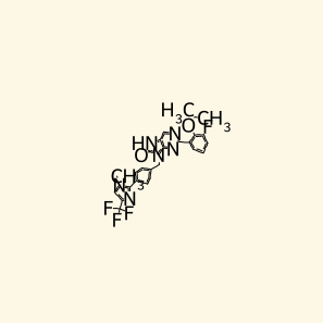 CC(C)Oc1c(F)cccc1-c1ncc2[nH]c(=O)n(Cc3ccc(-c4nc(C(F)(F)F)cn4C)cc3)c2n1